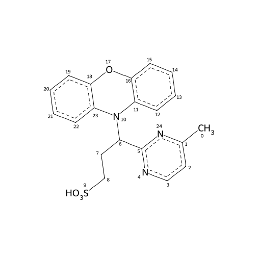 Cc1ccnc(C(CCS(=O)(=O)O)N2c3ccccc3Oc3ccccc32)n1